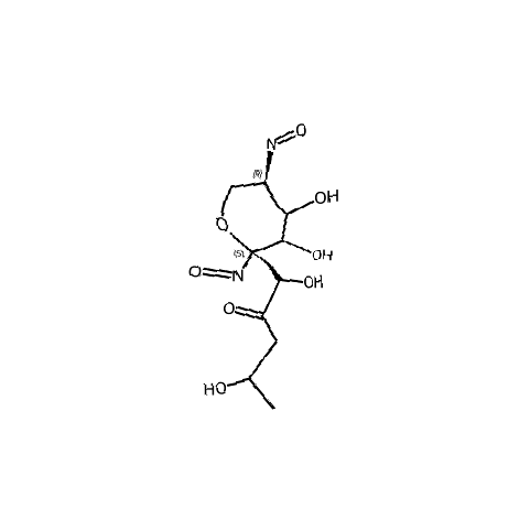 CC(O)CC(=O)C(O)[C@@]1(N=O)OC[C@@H](N=O)C(O)C1O